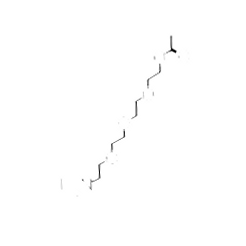 CC(=O)OCCOCCOCCOCCN